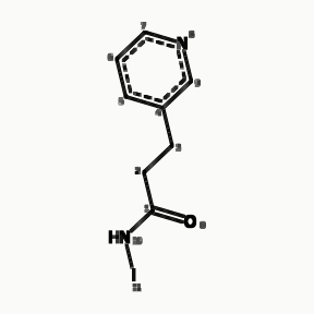 O=C(CCc1cccnc1)NI